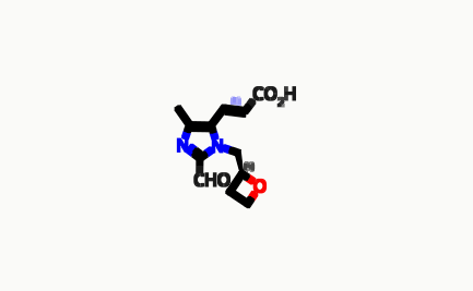 Cc1nc(C=O)n(C[C@@H]2CCO2)c1/C=C/C(=O)O